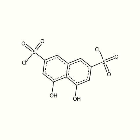 O=S(=O)(Cl)c1cc(O)c2c(O)cc(S(=O)(=O)Cl)cc2c1